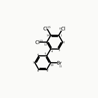 Clc1ccc(-c2ccc[c]c2Br)c(Cl)c1Cl